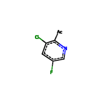 CC(=O)c1ncc(F)cc1Cl